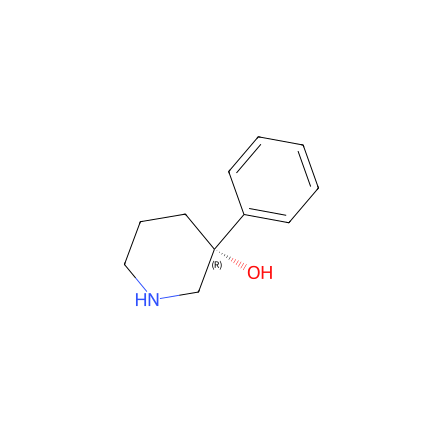 O[C@@]1(c2ccccc2)CCCNC1